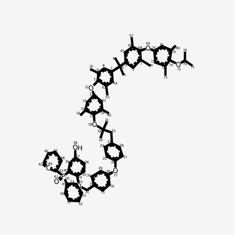 Cc1cc(C(C)(C)c2cc(C)c(Oc3cc(C)c(OC(C)(C)Cc4ccc(Oc5ccc(COc6ccc(O)cc6P(=O)(c6ccccc6)c6ccccc6)cc5)cc4)c(C)c3)c(C)c2)cc(C)c1Oc1cc(C)c(OC(C)C)c(C)c1